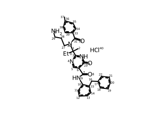 CCC(C)(c1ncc(C(=O)Nc2ccccc2Cc2ccccc2)c(=O)[nH]1)N(CCCN)C(=O)c1ccc(C)cc1.Cl